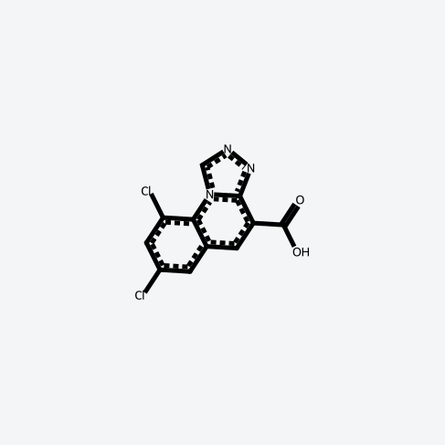 O=C(O)c1cc2cc(Cl)cc(Cl)c2n2cnnc12